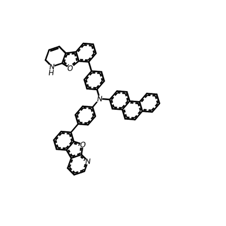 C1=Cc2c(oc3c(-c4ccc(N(c5ccc(-c6cccc7c6oc6ncccc67)cc5)c5ccc6c(ccc7ccccc76)c5)cc4)cccc23)NC1